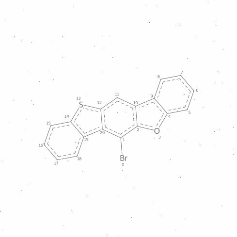 Brc1c2oc3ccccc3c2cc2sc3ccccc3c12